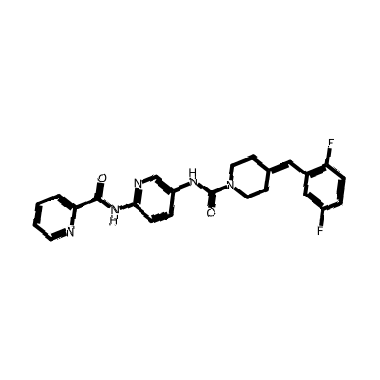 O=C(Nc1ccc(NC(=O)N2CCC(=Cc3cc(F)ccc3F)CC2)cn1)c1ccccn1